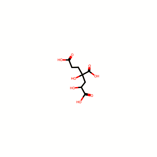 O=C(O)CCC(O)(CC(O)C(=O)O)C(=O)O